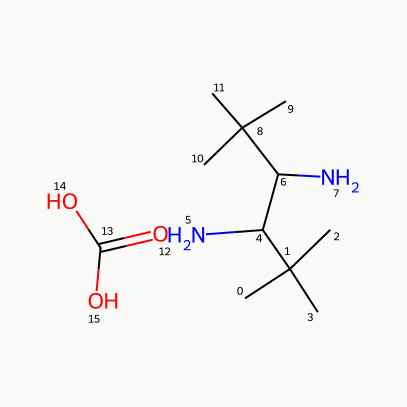 CC(C)(C)C(N)C(N)C(C)(C)C.O=C(O)O